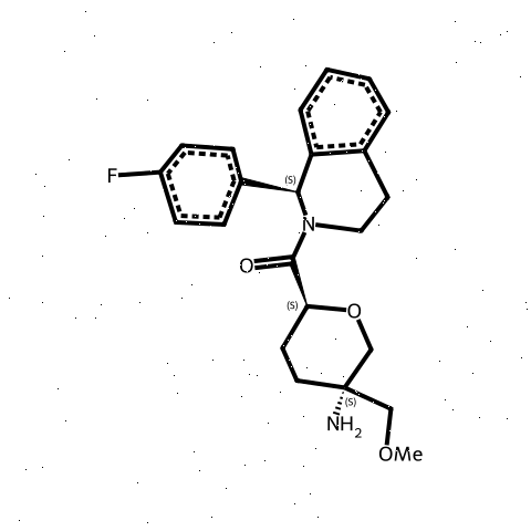 COC[C@@]1(N)CC[C@@H](C(=O)N2CCc3ccccc3[C@@H]2c2ccc(F)cc2)OC1